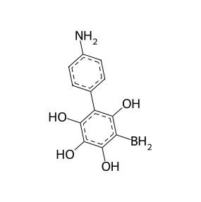 Bc1c(O)c(O)c(O)c(-c2ccc(N)cc2)c1O